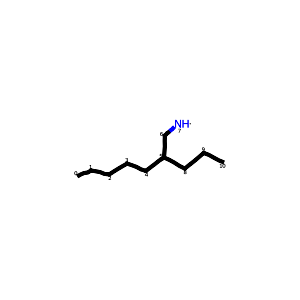 CCCCCC(C[NH])CCC